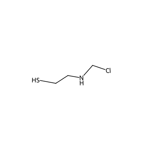 SCCNCCl